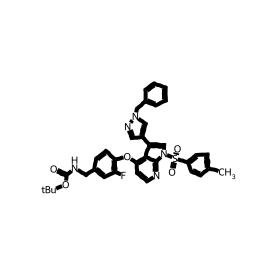 Cc1ccc(S(=O)(=O)n2cc(-c3cnn(Cc4ccccc4)c3)c3c(Oc4ccc(CNC(=O)OC(C)(C)C)cc4F)ccnc32)cc1